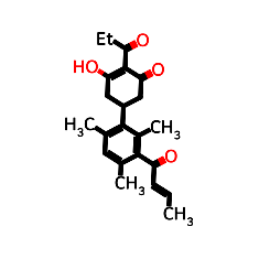 C/C=C/C(=O)c1c(C)cc(C)c(C2CC(=O)C(C(=O)CC)=C(O)C2)c1C